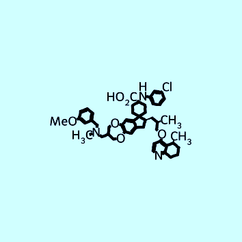 COc1cccc(CN(C)CC2COc3cc4c(cc3OC2)C2(CCC(Nc3cccc(Cl)c3)(C(=O)O)CC2)[C@@H](C[C@@H](C)COc2ccnc3c2[C@H](C)CCC3)C4)c1